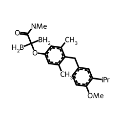 BC(B)(Oc1cc(C)c(Cc2ccc(OC)c(C(C)C)c2)c(C)c1)C(=O)NC